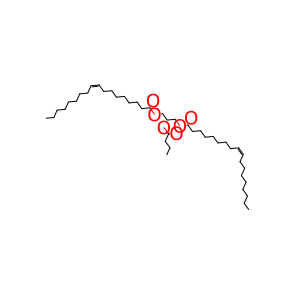 CCCCCCCC/C=C\CCCCCCCC(=O)OCC(COC(=O)CCCCCCC/C=C\CCCCCCCC)OC(=O)CCC